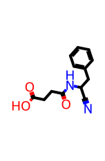 N#CC(Cc1ccccc1)NC(=O)CCC(=O)O